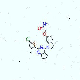 CN(C)C(=O)COc1ccc2c(c1)N(c1nc(-c3ccc(Cl)s3)nc3c1CCC3)CC2